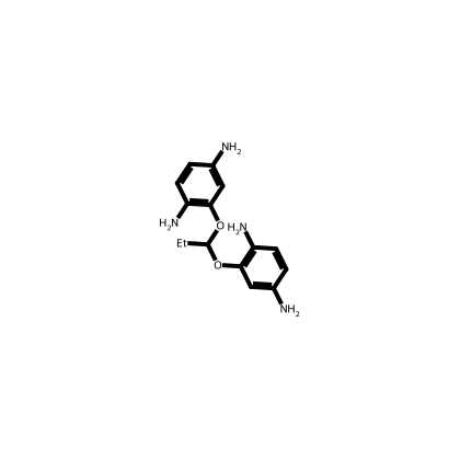 CCC(Oc1cc(N)ccc1N)Oc1cc(N)ccc1N